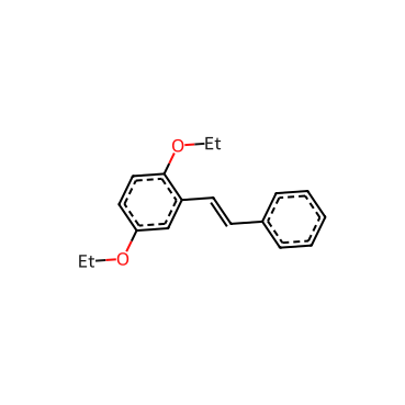 CCOc1ccc(OCC)c(C=Cc2ccccc2)c1